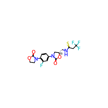 O=C1O[C@@H](CNC(=S)CC(F)(F)F)CN1c1ccc(N2CCOC2=O)c(F)c1